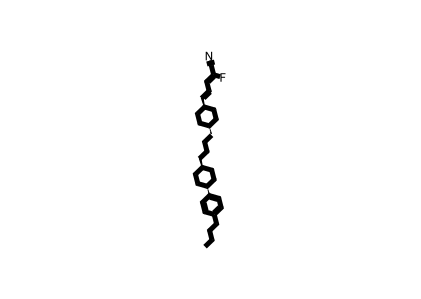 CCCCc1ccc([C@H]2CC[C@H](CCCC[C@H]3CC[C@H](/C=C/C=C(\F)C#N)CC3)CC2)cc1